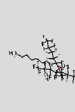 NCCCCCCN(C(F)(C(O)(F)C(F)(F)F)C(F)(F)C(F)(F)C(F)(F)C(F)(F)F)C(F)(C(O)(F)C(F)(F)F)C(F)(F)C(F)(F)C(F)(F)C(F)(F)F